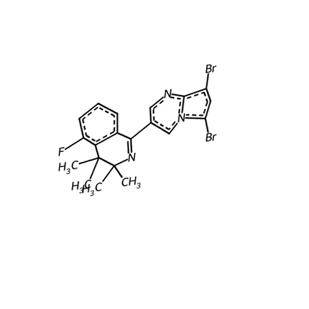 CC1(C)N=C(c2cnc3c(Br)cc(Br)n3c2)c2cccc(F)c2C1(C)C